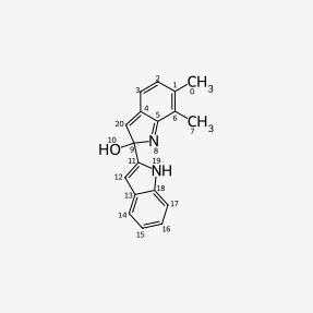 Cc1ccc2c(c1C)=NC(O)(c1cc3ccccc3[nH]1)C=2